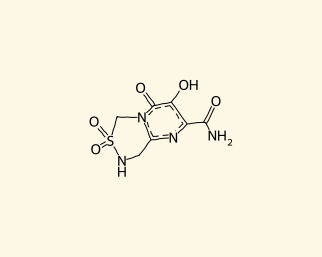 NC(=O)c1nc2n(c(=O)c1O)CS(=O)(=O)NC2